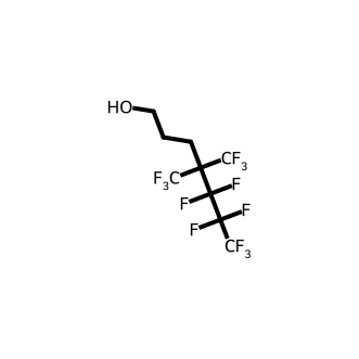 OCCCC(C(F)(F)F)(C(F)(F)F)C(F)(F)C(F)(F)C(F)(F)F